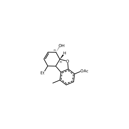 CCC1C=C[C@H](O)[C@@H]2Oc3c(OC(C)=O)ccc(C)c3C12